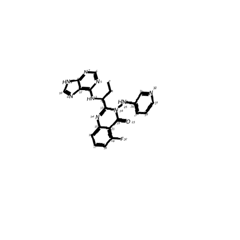 CCC(Nc1ncnc2[nH]cnc12)c1nc2cccc(F)c2c(=O)n1Nc1cccnc1